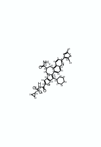 Cc1cc(-c2ccc3c4c(ccc3n2)-c2c(C3CCCCC3)c3sc(C(=O)NS(=O)(=O)C5CC5)cc3n2CC(C(N)=O)C4)c(C)s1